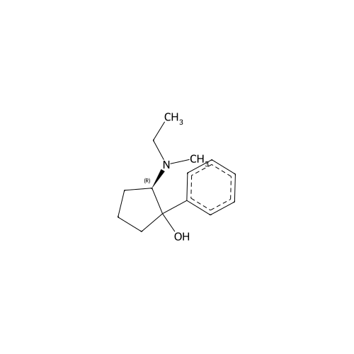 CCN(C)[C@@H]1CCCC1(O)c1ccccc1